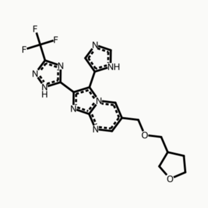 FC(F)(F)c1n[nH]c(-c2nc3ncc(COCC4CCOC4)cn3c2-c2cnc[nH]2)n1